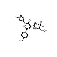 Cn1cc(-n2nc(-c3ccc(CF)cc3)cc(C(=O)NC(CO)C(F)(F)F)c2=O)cn1